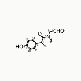 CC(C(=O)N(I)C[C]=O)c1ccc(O)cc1